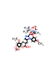 CCCCc1ncc(/C=C(\Cc2cc3c(cc2OC)OCO3)C(=O)O)n1-c1ccc(OC)cc1OCN(C=O)S(=O)(=O)N(C)C